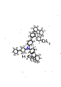 Cc1ccc2c(c1)C1(c3ccccc3-c3ccccc31)c1cccc(-c3ccc(N(c4ccc(-c5ccccc5)cc4)c4ccc5c(c4)C(C)(C)C4=C5C=CCC4)cc3)c1-2